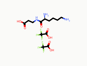 NCCCC[C@H](N)C(=O)NCCC(=O)O.O=C(O)C(F)(F)F.O=C(O)C(F)(F)F